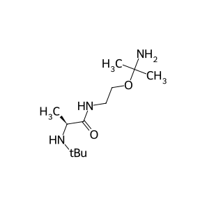 C[C@H](NC(C)(C)C)C(=O)NCCOC(C)(C)N